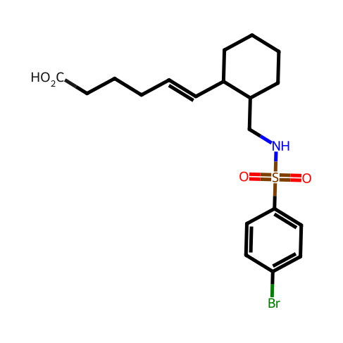 O=C(O)CCCC=CC1CCCCC1CNS(=O)(=O)c1ccc(Br)cc1